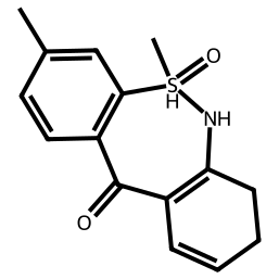 Cc1ccc2c(c1)[SH](C)(=O)NC1=C(C=CCC1)C2=O